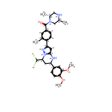 COc1ccc(C2CC(C(F)F)n3nc(-c4ccc(C(=O)N5C[C@H](C)NC[C@H]5C)cc4C)cc3N2)cc1OC